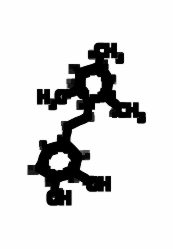 Cc1cc(C)[n+](CCc2ccc(O)c(O)c2)c(C)c1